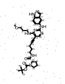 COCCCNc1nc(Nc2ccc3[nH]ncc3c2)ncc1C#CCCCNC(=O)[C@@H]1CCCN1C(=O)OC(C)(C)C